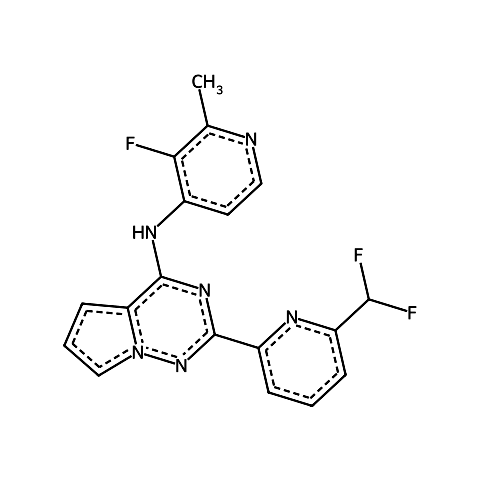 Cc1nccc(Nc2nc(-c3cccc(C(F)F)n3)nn3cccc23)c1F